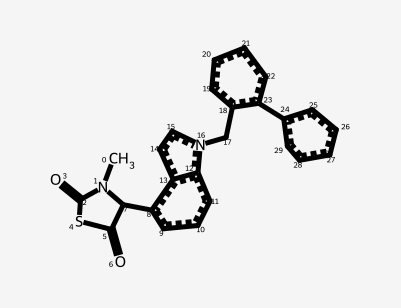 CN1C(=O)SC(=O)C1c1cccc2c1ccn2Cc1ccccc1-c1ccccc1